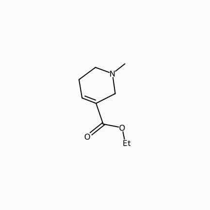 CCOC(=O)C1=CCCN(C)C1